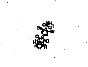 NS(=O)(=O)c1c(Br)cc(N2C(=O)[C@@H]3[C@H](C2=O)[C@H]2CC[C@@H]3O2)cc1Br